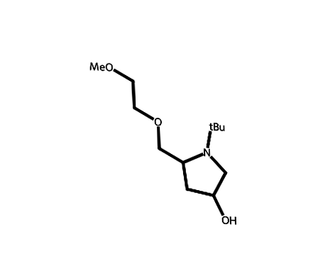 COCCOCC1CC(O)CN1C(C)(C)C